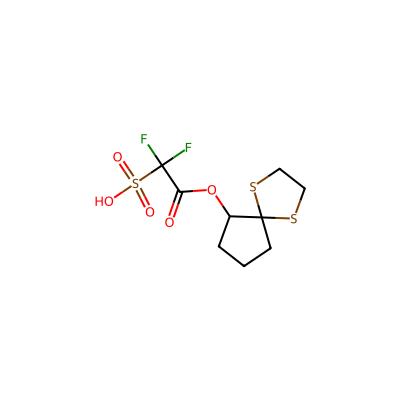 O=C(OC1CCCC12SCCS2)C(F)(F)S(=O)(=O)O